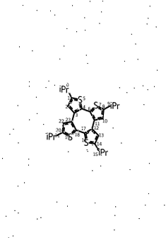 CC(C)c1cc2c(s1)-c1sc(C(C)C)cc1-c1cc(C(C)C)sc1-c1sc(C(C)C)cc1-2